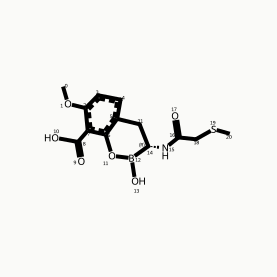 COc1ccc2c(c1C(=O)O)OB(O)[C@@H](NC(=O)CSC)C2